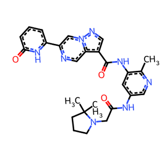 Cc1ncc(NC(=O)CN2CCCC2(C)C)cc1NC(=O)c1cnn2cc(-c3cccc(=O)[nH]3)ncc12